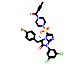 CC#CC(=O)N1CCN(S(=O)(=O)c2cnc3n2[C@](C)(Cc2ccc(Br)cc2)C(=O)N3c2cc(Cl)cc(Cl)c2)CC1